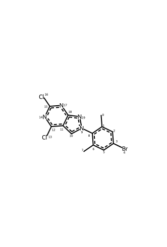 Cc1cc(Br)cc(C)c1-n1cc2c(Cl)nc(Cl)nc2n1